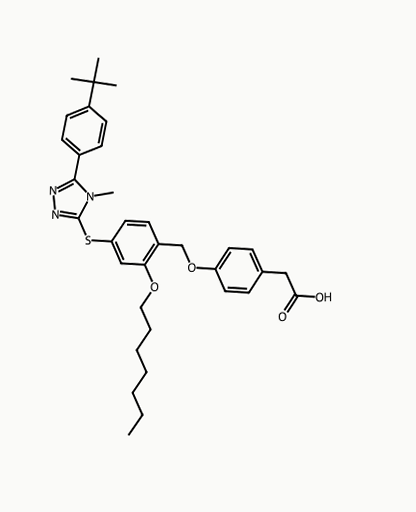 CCCCCCCOc1cc(Sc2nnc(-c3ccc(C(C)(C)C)cc3)n2C)ccc1COc1ccc(CC(=O)O)cc1